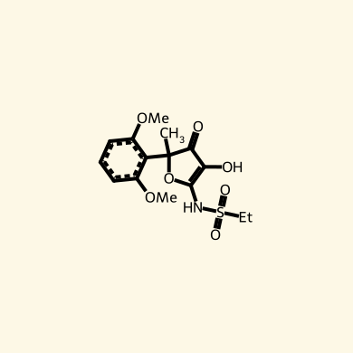 CCS(=O)(=O)NC1=C(O)C(=O)C(C)(c2c(OC)cccc2OC)O1